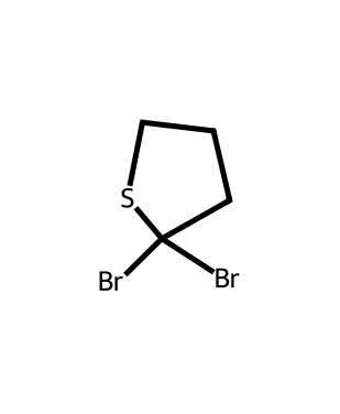 BrC1(Br)CCCS1